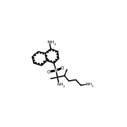 CC(CCCN)C(C)(N)S(=O)(=O)c1ccc(N)c2ccccc12